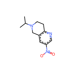 CC(C)N1CCc2ncc([N+](=O)[O-])cc2C1